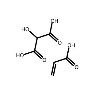 C=CC(=O)O.O=C(O)C(O)C(=O)O